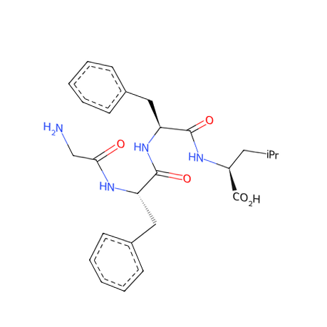 CC(C)C[C@H](NC(=O)[C@H](Cc1ccccc1)NC(=O)[C@H](Cc1ccccc1)NC(=O)CN)C(=O)O